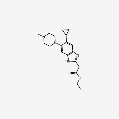 CCOC(=O)Cc1nc2cc(C3CC3)c(N3CCN(C)CC3)cc2[nH]1